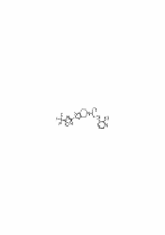 O=C(COc1cccnc1Cl)N1CCc2sc(-c3noc(C(F)(F)F)n3)cc2C1